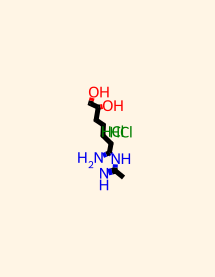 CC(=N)NC(N)CCCCC(O)CO.Cl.Cl